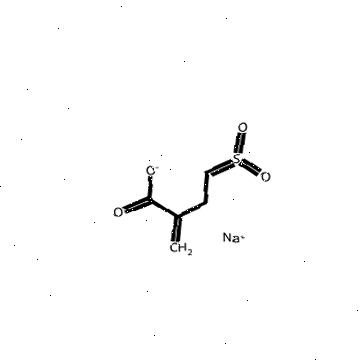 C=C(CC=S(=O)=O)C(=O)[O-].[Na+]